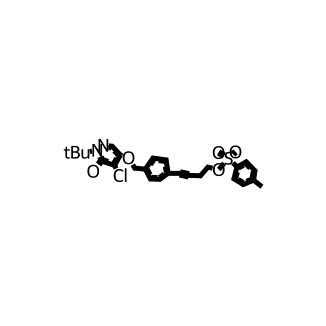 Cc1ccc(S(=O)(=O)OCCC#Cc2ccc(COc3cnn(C(C)(C)C)c(=O)c3Cl)cc2)cc1